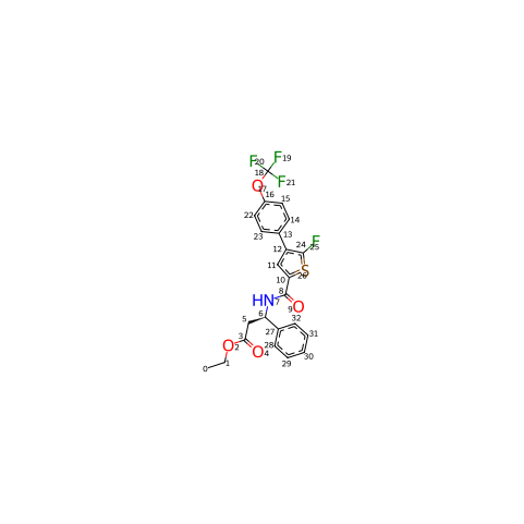 CCOC(=O)C[C@@H](NC(=O)c1cc(-c2ccc(OC(F)(F)F)cc2)c(F)s1)c1ccccc1